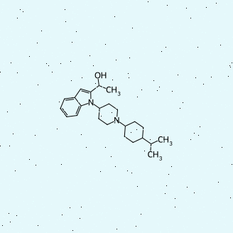 CC(O)c1cc2ccccc2n1C1CCN(C2CCC(C(C)C)CC2)CC1